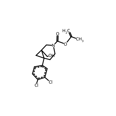 C=C(C)OC(=O)N1CCC2(c3ccc(Cl)c(Cl)c3)CC2(CO)C1